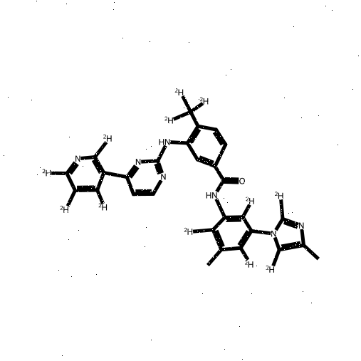 [2H]c1nc([2H])c(-c2ccnc(Nc3cc(C(=O)Nc4c([2H])c(C)c([2H])c(-n5c([2H])nc(C)c5[2H])c4[2H])ccc3C([2H])([2H])[2H])n2)c([2H])c1[2H]